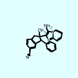 CC1(c2nc3ccccn3c2N)Cc2ccc(C#N)cc2C1c1ccccc1